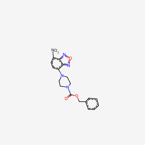 O=C(OCc1ccccc1)N1CCN(c2ccc([N+](=O)[O-])c3nonc23)CC1